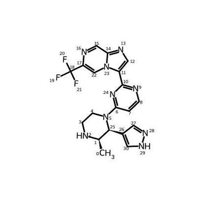 C[C@H]1NCCN(c2ccnc(-c3cnc4cnc(C(F)(F)F)cn34)n2)[C@H]1c1cn[nH]c1